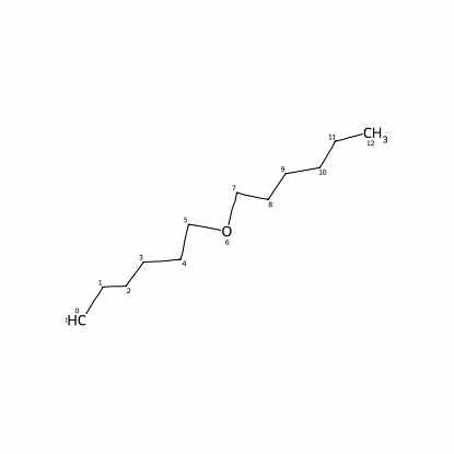 [CH]CCCCCOCCCCCC